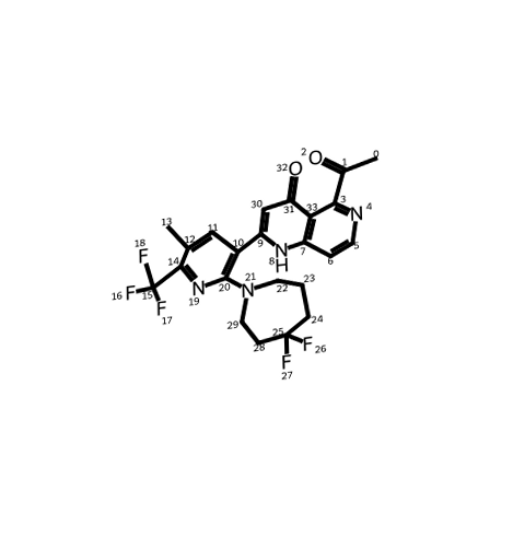 CC(=O)c1nccc2[nH]c(-c3cc(C)c(C(F)(F)F)nc3N3CCCC(F)(F)CC3)cc(=O)c12